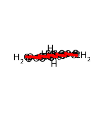 C=CC(=O)OCCCCOc1ccc(OC(=O)/C=C/c2ccc(NC(=O)C(=O)Nc3ccc(/C=C/C(=O)Oc4ccc(OCCCCOC(=O)C=C)cc4)cc3C)c(C)c2)cc1